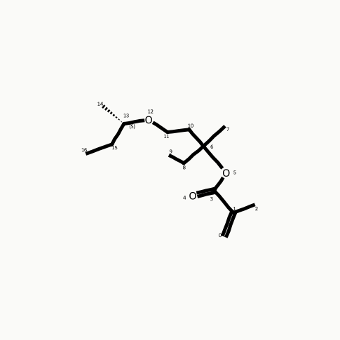 C=C(C)C(=O)OC(C)(CC)CCO[C@@H](C)CC